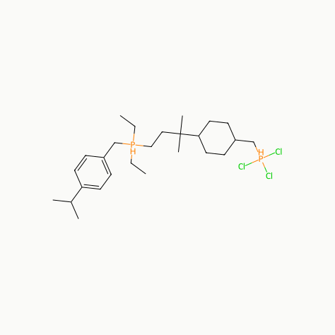 CC[PH](CC)(CCC(C)(C)C1CCC(C[PH](Cl)(Cl)Cl)CC1)Cc1ccc(C(C)C)cc1